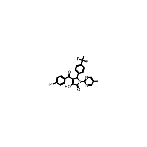 Cc1cnc(N2C(=O)C(O)=C(C(=O)c3ccc(C(C)C)cc3)C2c2ccc(C(C)(F)F)cc2)nc1